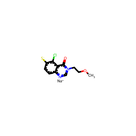 COCCn1cnc2ccc([S-])c(Cl)c2c1=O.[Na+]